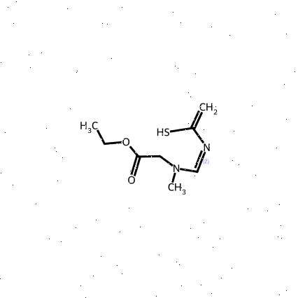 C=C(S)/N=C\N(C)CC(=O)OCC